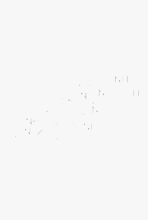 CC1CN(c2nc3[nH]cc(-c4ccc5nn(C)cc5c4Cl)c3c(=O)n2C)CCN1